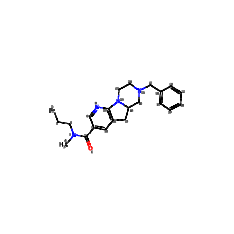 CC(C)CCN(C)C(=O)c1cnc2c(c1)CC1CN(Cc3ccccc3)CCN21